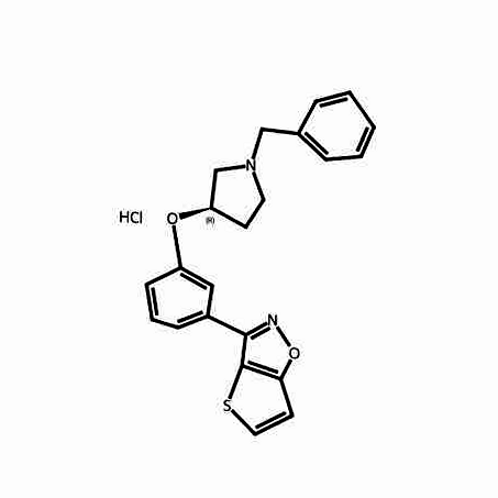 Cl.c1ccc(CN2CC[C@@H](Oc3cccc(-c4noc5ccsc45)c3)C2)cc1